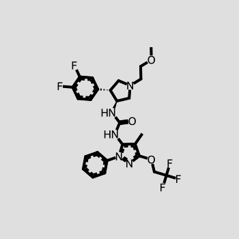 COCCN1C[C@@H](NC(=O)Nc2c(C)c(OCC(F)(F)F)nn2-c2ccccc2)[C@H](c2ccc(F)c(F)c2)C1